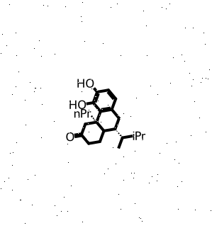 CCC[C@@]12CC(=O)CCC1[C@@H](C(C)C(C)C)Cc1ccc(O)c(O)c12